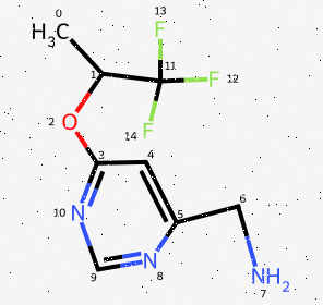 CC(Oc1cc(CN)ncn1)C(F)(F)F